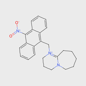 O=[N+]([O-])c1c2ccccc2c(C[N+]2=C3CCCCCN3CCC2)c2ccccc12